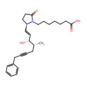 C[C@H](CC#CCc1ccccc1)[C@H](O)/C=C/[C@H]1CCC(=O)N1CCCCCCC(=O)O